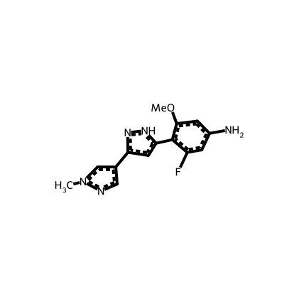 COc1cc(N)cc(F)c1-c1cc(-c2cnn(C)c2)n[nH]1